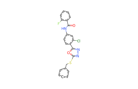 O=C(Nc1ccc(-c2nnc(SCc3ccccc3)o2)c(Cl)c1)c1ccccc1F